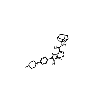 CN1CCN(c2ccc(-c3nc4c(C(=O)NC56CC7CC(CC(C7)C5)C6)ccnc4[nH]3)cc2)CC1